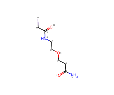 NC(=O)CCOCCNC(=O)CI